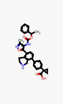 Cc1noc(-c2ccc(-c3ccc(C4(C(=O)O)CC4)cc3)c3c2CCNC3)c1NC(=O)OC(C)c1ccccc1